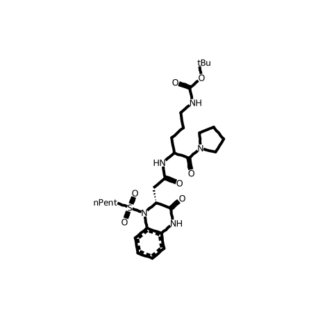 CCCCCS(=O)(=O)N1c2ccccc2NC(=O)[C@H]1CC(=O)NC(CCCNC(=O)OC(C)(C)C)C(=O)N1CCCC1